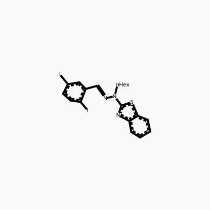 CCCCCCN(/N=C/c1cc(I)ccc1I)c1nc2ccccc2s1